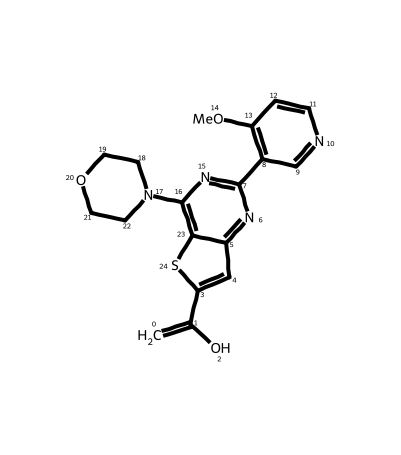 C=C(O)c1cc2nc(-c3cnccc3OC)nc(N3CCOCC3)c2s1